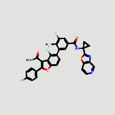 CNC(=O)c1c(-c2ccc(F)cc2)oc2ccc(-c3cc(C(=O)NC4(c5nc6cnccc6o5)CC4)cc(F)c3C)c(F)c12